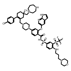 CC1(CN2CCCNCC2)CCC(c2ccc(Cl)cc2)=C(CN2CCN(c3ccc(C(=O)NS(=O)(=O)c4ccc(NCCCN5CCOCC5)c(S(=O)(=O)C(F)(F)F)c4)c(Oc4cnc5[nH]ccc5c4)c3)CC2)C1